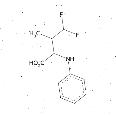 CC(C(F)F)C(Nc1ccccc1)C(=O)O